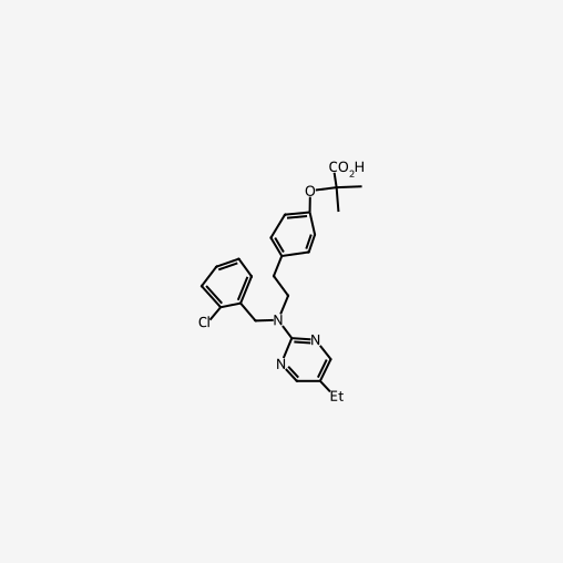 CCc1cnc(N(CCc2ccc(OC(C)(C)C(=O)O)cc2)Cc2ccccc2Cl)nc1